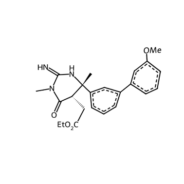 CCOC(=O)C[C@@H]1C(=O)N(C)C(=N)N[C@]1(C)c1cccc(-c2cccc(OC)c2)c1